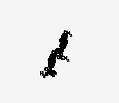 CC(=O)Oc1cc(Oc2ccc(S(=O)(=O)c3ccc(-n4c(=O)n(C)c5ccccc54)cc3)cc2)ccc1Oc1ccc(S(=O)(=O)c2ccc(C)cc2)cc1